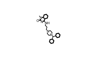 Cn1c(=O)nc(NCCCN2CCN(C(c3ccccc3)c3ccccc3)CC2)c2ccccc21